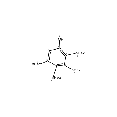 CCCCCCc1cc(O)c(CCCCCC)c(CCCCCC)c1CCCCCC